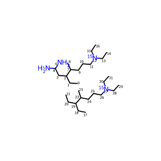 CCC(CC(N)N)C(C)CCC[15N](CC)CC.CCC(CC)C(C)CCC[15N](CC)CC